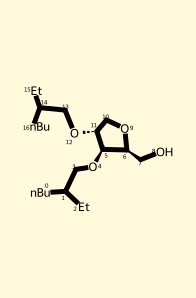 CCCCC(CC)CO[C@@H]1[C@H](CO)OC[C@H]1OCC(CC)CCCC